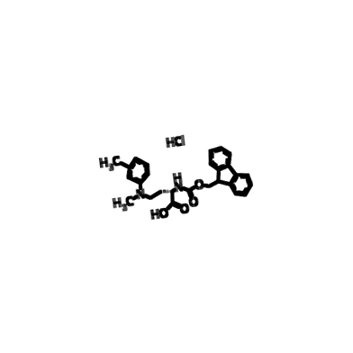 Cc1cccc(N(C)CC[C@H](NC(=O)OCC2c3ccccc3-c3ccccc32)C(=O)O)c1.Cl